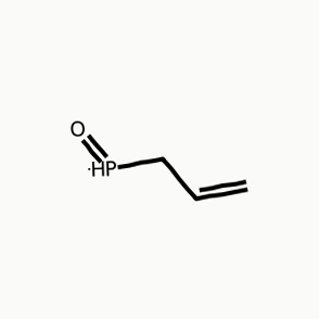 C=CC[PH]=O